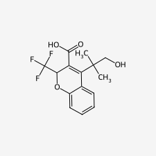 CC(C)(CO)C1=C(C(=O)O)C(C(F)(F)F)Oc2ccccc21